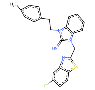 Cc1ccc(CCn2c(=N)n(Cc3nc4cc(F)ccc4s3)c3ccccc32)cc1